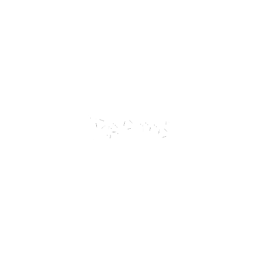 CCOCCNc1nc(-c2ccc(CNNC(=S)Nc3ccccc3C(C)C)cc2)nn1-c1ccc(OC(F)(F)F)cc1